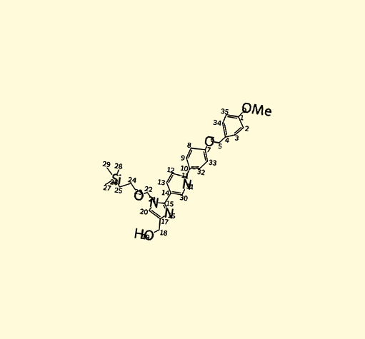 COc1ccc(COc2ccc(-c3ccc(-c4nc(CO)cn4COCC[Si](C)(C)C)cn3)cc2)cc1